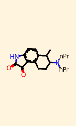 CCCN(CCC)C1CCc2c(ccc3c2C(=O)C(=O)N3)C1C